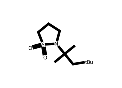 CC(C)(C)CC(C)(C)N1CCCS1(=O)=O